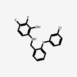 Oc1c(NCc2ccccc2Sc2cccc(Cl)c2)ccc(F)c1F